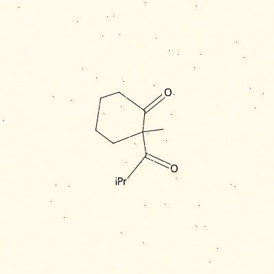 CC(C)C(=O)C1(C)CCCCC1=O